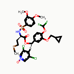 COc1ccc(S(=O)(=O)N[C@H](CCSC)C(=O)O[C@@H](Cc2c(Cl)c[n+]([O-])cc2Cl)c2ccc(OC(F)F)c(OCC3CC3)c2)cc1OC